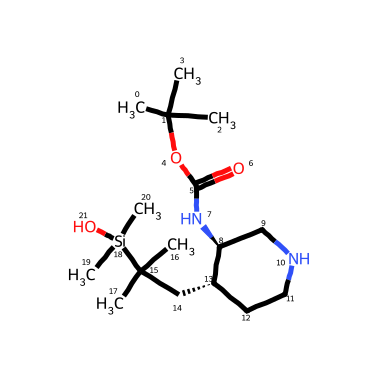 CC(C)(C)OC(=O)N[C@H]1CNCC[C@@H]1CC(C)(C)[Si](C)(C)O